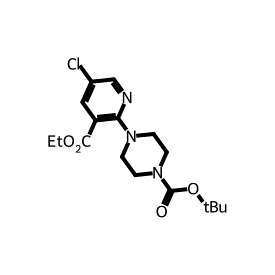 CCOC(=O)c1cc(Cl)cnc1N1CCN(C(=O)OC(C)(C)C)CC1